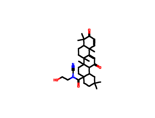 CC1(C)CCC2(C(=O)N(C#N)CCO)CCC3(C)C(C(=O)C=C4C5(C)C=CC(=O)C(C)(C)C5CCC43C)C2C1